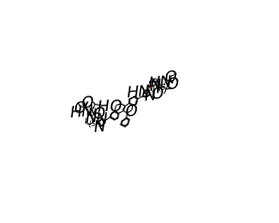 COC(=O)N[C@H](C(=O)N1CCC[C@H]1c1ncc(-c2ccc3c(c2)OC(c2ccccc2)C2=C3COc3cc(-c4cnc([C@@H]5CCCN5C(=O)[C@@H](NC(=O)OC)C(C)C)[nH]4)ccc32)[nH]1)C(C)C